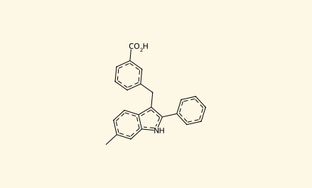 Cc1ccc2c(Cc3cccc(C(=O)O)c3)c(-c3ccccc3)[nH]c2c1